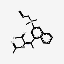 C=CC[Si](C)(C)c1cc(/C(C)=C(/NC(C)=O)C(=O)O)c2ccccc2c1